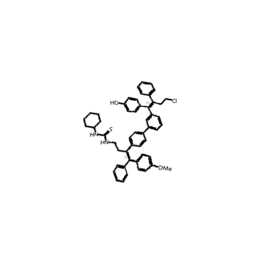 COc1ccc(/C(=C(/CCNC(=S)NC2CCCCC2)c2ccc(-c3cccc(/C(=C(\CCCl)c4ccccc4)c4ccc(O)cc4)c3)cc2)c2ccccc2)cc1